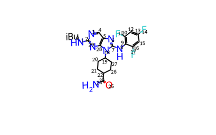 CCC(C)Nc1ncc2nc(Nc3c(F)cc(F)cc3F)n(C3CCC(C(N)=O)CC3)c2n1